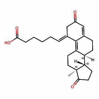 C[C@]12CCC3=C4C(=CC(=O)CC4=CCCCCC(=O)O)CC[C@H]3[C@@H]1CCC2=O